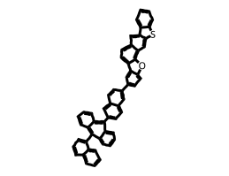 c1ccc2c(-c3c4ccccc4c(-c4ccc5cc(-c6ccc7oc8c9cc%10sc%11ccccc%11c%10cc9ccc8c7c6)ccc5c4)c4ccccc34)cccc2c1